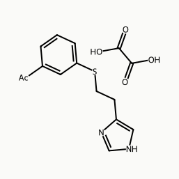 CC(=O)c1cccc(SCCc2c[nH]cn2)c1.O=C(O)C(=O)O